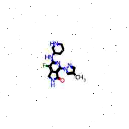 Cc1cnn(-c2nc(NC3CCCNC3)c(F)c3c2C(=O)NC3)c1